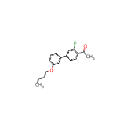 CCCCOc1cccc(-c2ccc(C(C)=O)c(F)c2)c1